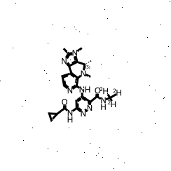 [2H]C([2H])([2H])NC(=O)c1nnc(NC(=O)C2CC2)cc1Nc1nccc2c1N(C)[C@@H](C)c1c-2nc(C)n1C